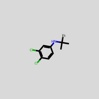 CCC(C)(C)Nc1ccc(Cl)c(Cl)c1